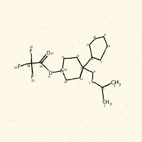 CC(C)SCC1(C2CCCCC2)CCN(OC(=O)C(F)(F)F)CC1